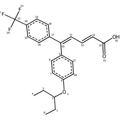 CCC(CC)Oc1ccc(/C(=C\C=C\C(=O)O)c2ccc(C(F)(F)F)cc2)cc1